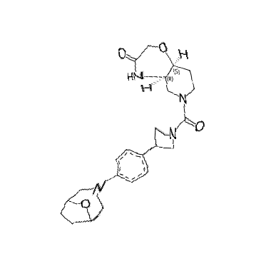 O=C1CO[C@H]2CCN(C(=O)N3CC(c4ccc(N5CC6CCC(C5)O6)cc4)C3)C[C@H]2N1